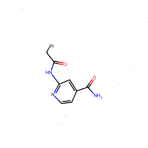 CC(C)CC(=O)Nc1cc(C(N)=O)ccn1